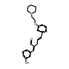 O=C/C(=C\c1cccc(O)c1)C/C=C/c1cccc(OCCN2CCCCC2)c1